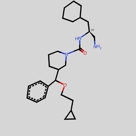 NC[C@H](CC1CCCCC1)NC(=O)N1CCCC(C(OCCC2CC2)c2ccccc2)C1